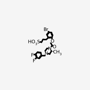 C[C@@H]1CN(Cc2ccc(F)c(F)c2)CCN1C(=O)COc1ccc(Br)cc1CCCS(=O)(=O)O